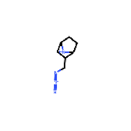 [N-]=[N+]=NCC1CC2CCC1N2